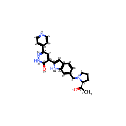 CC(=O)[C@@H]1CCCN1Cc1ccc2cc(-c3cc(-c4ccncc4)n[nH]c3=O)[nH]c2c1